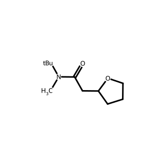 CN(C(=O)CC1CCCO1)C(C)(C)C